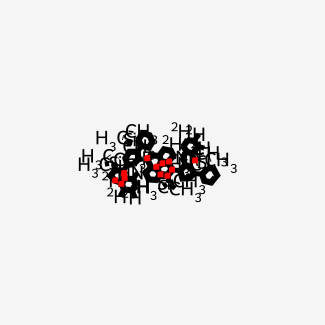 [2H]c1c([2H])c([2H])c(N(c2c(-c3ccccc3[Si](C)(C)C)ccc(-c3ccccc3[Si](C)(C)C)c2F)c2ccc3ccc4c(N(c5c([2H])c([2H])c([2H])c([2H])c5[2H])c5c(-c6ccccc6[Si](C)(C)C)ccc(-c6ccccc6[Si](C)(C)C)c5F)ccc5ccc2c3c54)c([2H])c1[2H]